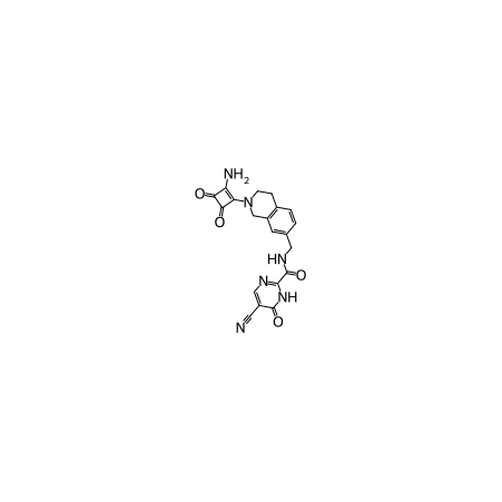 N#Cc1cnc(C(=O)NCc2ccc3c(c2)CN(c2c(N)c(=O)c2=O)CC3)[nH]c1=O